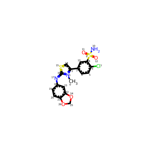 Cn1c(-c2ccc(Cl)c(S(N)(=O)=O)c2)csc1=Nc1ccc2c(c1)OCO2